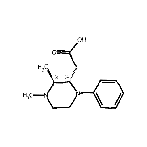 C[C@H]1[C@H](CC(=O)O)N(c2ccccc2)CCN1C